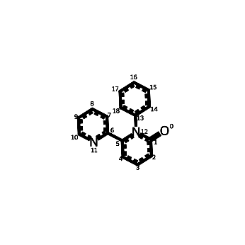 O=c1cccc(-c2ccccn2)n1-c1ccccc1